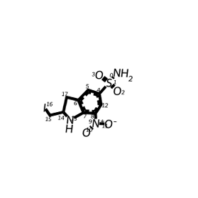 NS(=O)(=O)c1cc2c(c([N+](=O)[O-])c1)NC(CI)C2